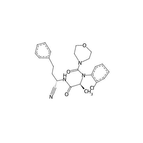 C[C@@H](C(=O)N[C@H](C#N)CCc1ccccc1)N(C(=O)N1CCOCC1)c1ccccc1Cl